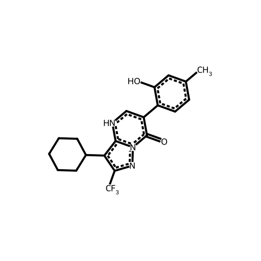 Cc1ccc(-c2c[nH]c3c(C4CCCCC4)c(C(F)(F)F)nn3c2=O)c(O)c1